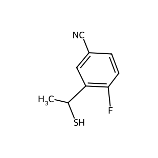 CC(S)c1cc(C#N)ccc1F